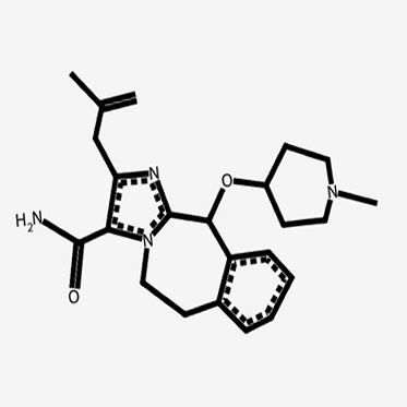 C=C(C)Cc1nc2n(c1C(N)=O)CCc1ccccc1C2OC1CCN(C)CC1